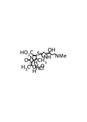 CNCC[C@@H](O)[C@@H]1C[C@H](SC2=C(C(=O)O)N3C(=O)[C@H]([C@@H](C)O)[C@H]3[C@H]2C)CN1.Cl.O